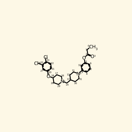 CCC(=O)Oc1cccc(N2CCC(CN3CCC(Oc4ccc(Cl)c(Cl)c4)CC3)CC2)c1